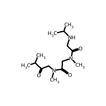 CC(C)NCC(=O)N(C)CC(=O)N(C)CC(=O)C(C)C